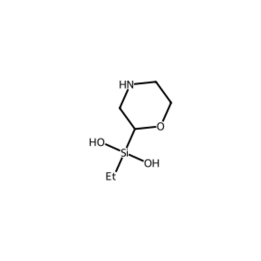 CC[Si](O)(O)C1CNCCO1